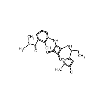 CCC(Nc1c(Nc2cccc(C(=O)N(C)C)c2O)c(=O)c1=O)c1cc(Cl)c(C)o1